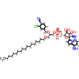 CCCCCCCCCCCCCCCCCCOC[C@H](COP(=O)(O)OC[C@H]1O[C@@](C#N)(c2ccc3c(N)ccnn23)[C@H](O)[C@@H]1O)OCc1ccc(C#N)c(Cl)c1